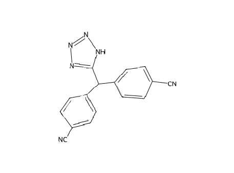 N#Cc1ccc(C(c2ccc(C#N)cc2)c2nnn[nH]2)cc1